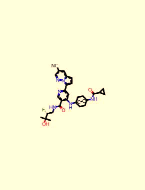 CC(C)(O)[C@H](F)CNC(=O)c1cnc(-c2ccc3cc(C#N)cnn23)cc1NC12CCC(NC(=O)C3CC3)(CC1)CC2